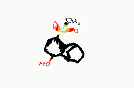 CS(=O)(=O)c1ccc(O)c2c1C1CCC2C1